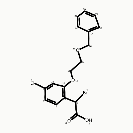 O=C(O)C(Br)c1ccc(Cl)cc1OCCOCc1ccccc1